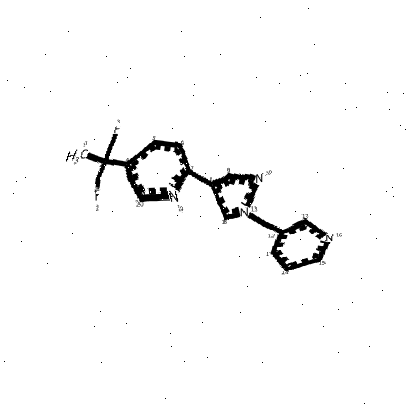 CC(F)(F)c1ccc(-c2cnn(-c3cccnc3)c2)nc1